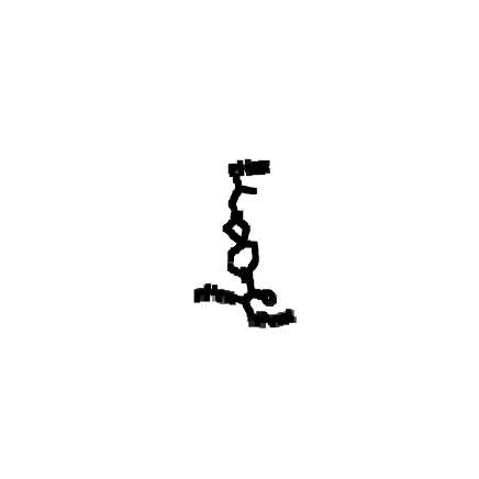 CCCCCCC(C)CN1CC2(CCN(C(=O)C(CCCCC)CCCCCC)CC2)C1